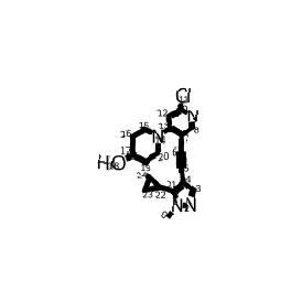 Cn1ncc(C#Cc2cnc(Cl)cc2N2CCC(O)CC2)c1C1CC1